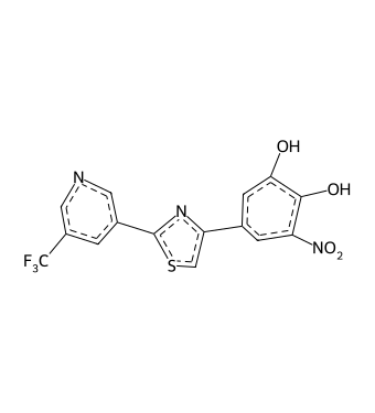 O=[N+]([O-])c1cc(-c2csc(-c3cncc(C(F)(F)F)c3)n2)cc(O)c1O